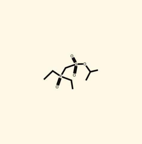 CCP(=O)(CC)CS(=O)(=O)OC(C)C